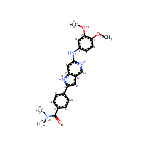 COc1ccc(Nc2cc3[nH]c(-c4ccc(C(=O)N(C)C)cc4)cc3cn2)cc1OC